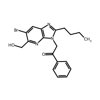 CCCCc1nc2cc(Br)c(CO)nc2n1CC(=O)c1ccccc1